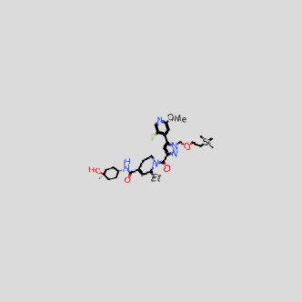 CCC1CC(C(=O)N[C@H]2CC[C@](C)(O)CC2)CCN1C(=O)c1cc(-c2cc(OC)ncc2F)n(COCC[Si](C)(C)C)n1